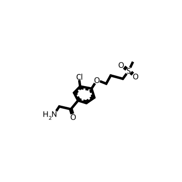 CS(=O)(=O)CCCOc1ccc(C(=O)CN)cc1Cl